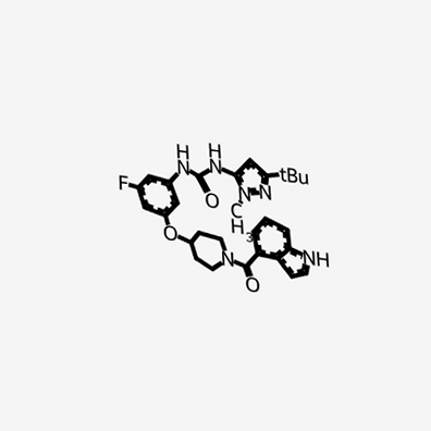 Cn1nc(C(C)(C)C)cc1NC(=O)Nc1cc(F)cc(OC2CCN(C(=O)c3cccc4[nH]ccc34)CC2)c1